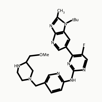 COCC1CN(Cc2ccc(Nc3ncc(F)c(-c4cnc5nc(C)n(C(C)(C)C)c5c4)n3)nc2)CCN1